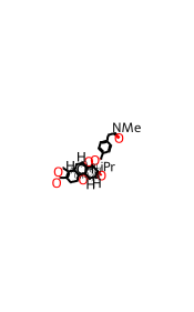 CNC(=O)Cc1ccc(CO[C@@H]2[C@@]3(C(C)C)O[C@H]3[C@@H]3O[C@]34[C@]23O[C@H]3C[C@H]2C3=C(CC[C@@]24C)C(=O)OC3)cc1